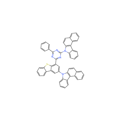 c1ccc(-c2nc(-c3cc(-n4c5ccccc5c5c6ccccc6ccc54)cc4c3sc3ccccc34)nc(-n3c4ccccc4c4c5ccccc5ccc43)n2)cc1